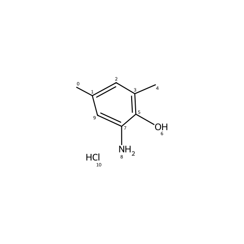 Cc1cc(C)c(O)c(N)c1.Cl